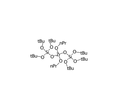 CCC[O][Zr]([O]CCC)([O][Si](OC(C)(C)C)(OC(C)(C)C)OC(C)(C)C)[O][Si](OC(C)(C)C)(OC(C)(C)C)OC(C)(C)C